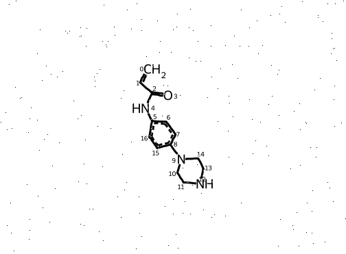 C=CC(=O)Nc1ccc(N2CCNCC2)cc1